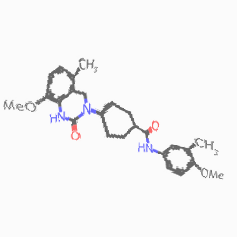 COc1ccc(NC(=O)C2CCC(N3Cc4c(C)ccc(OC)c4NC3=O)CC2)cc1C